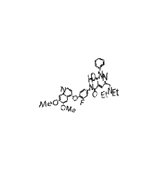 CCN(CC)Cc1cc(C(=O)Nc2ccc(Oc3ccnc4cc(OC)c(OC)cc34)c(F)c2)c(=O)n(-c2ccccc2)n1